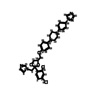 Clc1ccc(C2(Cn3ccnc3)OCC(COc3ccc(N4CCN(c5ccc(-n6cncn6)cc5)CC4)cc3)O2)c(Cl)c1